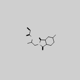 C=CC(=O)OC(C)CN1C(=O)C2CCC(C)CC2C1=O